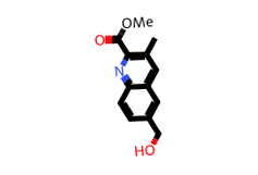 COC(=O)c1nc2ccc(CO)cc2cc1C